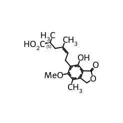 COc1c(C)c2c(c(O)c1CC=C(C)C[C@H](C)C(=O)O)C(=O)OC2